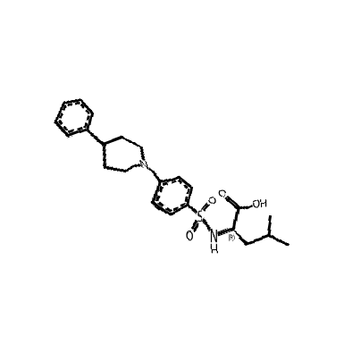 CC(C)C[C@@H](NS(=O)(=O)c1ccc(N2CCC(c3ccccc3)CC2)cc1)C(=O)O